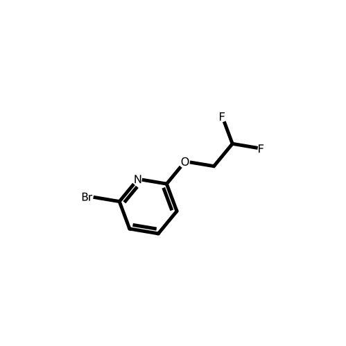 FC(F)COc1cccc(Br)n1